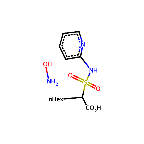 CCCCCCC(C(=O)O)S(=O)(=O)Nc1ccccn1.NO